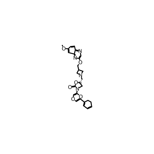 COc1ccc2ncc(OCC3CN(C[C@@H]4CN(C5=COC=C(C6=CC=CCC6)O5)C(=O)O4)C3)nc2c1